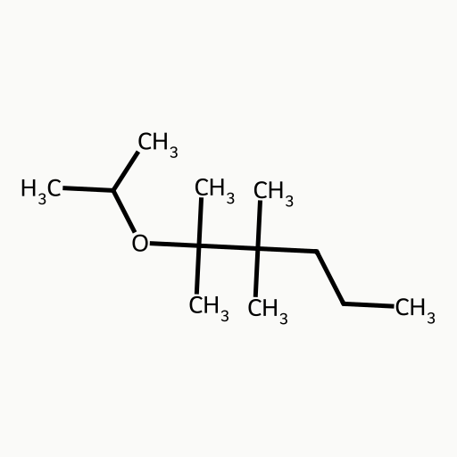 CCCC(C)(C)C(C)(C)OC(C)C